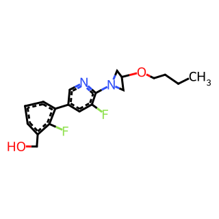 CCCCOC1CN(c2ncc(-c3cccc(CO)c3F)cc2F)C1